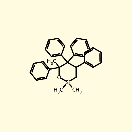 CC1(c2ccccc2)O[Si](C)(C)CC(c2ccccc2)C1(c1ccccc1)c1ccccc1